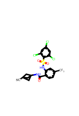 N#CC12CC(NC(=O)c3ccc(C(F)(F)F)cc3NS(=O)(=O)c3c(Cl)cc(Cl)cc3Cl)(C1)C2